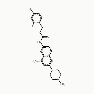 Cc1cc(N2CCN(C)CC2)nc2ccc(NC(=O)CCc3ccc(Cl)cc3F)cc12